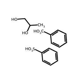 CC(O)CO.O=C(O)c1ccccc1.O=S(=O)(O)c1ccccc1